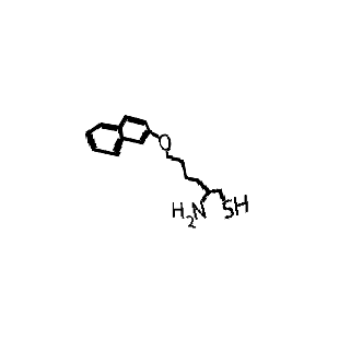 NC(CS)CCCCOc1ccc2ccccc2c1